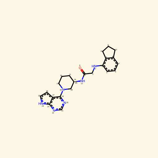 O=C(CNc1cccc2c1CCC2)N[C@@H]1CCCN(c2ncnc3[nH]ccc23)C1